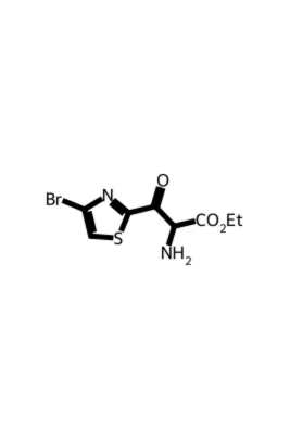 CCOC(=O)C(N)C(=O)c1nc(Br)cs1